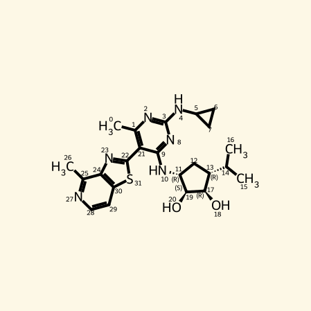 Cc1nc(NC2CC2)nc(N[C@@H]2C[C@H](C(C)C)[C@@H](O)[C@H]2O)c1-c1nc2c(C)nccc2s1